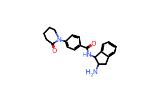 NC1Cc2ccccc2C1NC(=O)c1ccc(N2CCCCC2=O)cc1